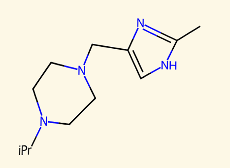 Cc1nc(CN2CCN(C(C)C)CC2)c[nH]1